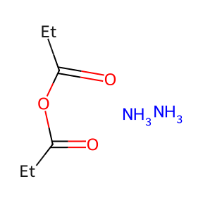 CCC(=O)OC(=O)CC.N.N